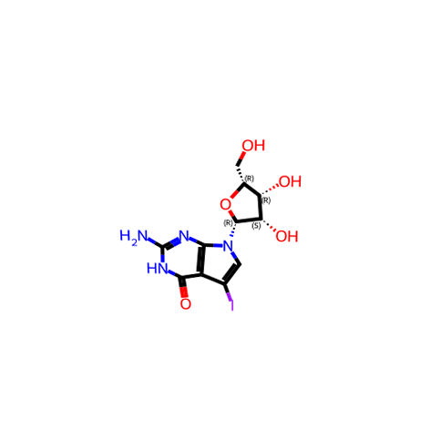 Nc1nc2c(c(I)cn2[C@@H]2O[C@H](CO)[C@H](O)[C@@H]2O)c(=O)[nH]1